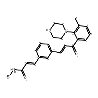 Cc1cccc(C(=O)C=Cc2cccc(C=CC(=O)NO)c2)c1N1CCOCC1